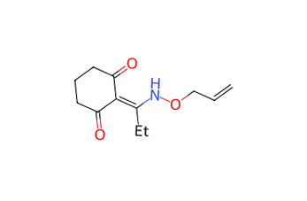 C=CCONC(CC)=C1C(=O)CCCC1=O